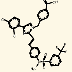 CN(c1ccc(C=Cc2nc(-c3ccc(Cl)cc3Cl)cn2Cc2ccc(C(=O)O)cc2)cc1)S(=O)(=O)c1cccc(C(F)(F)F)c1